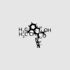 CC(C)(C)c1cccc2c1CC(CN=[N+]=[N-])N(C(=O)O)C2